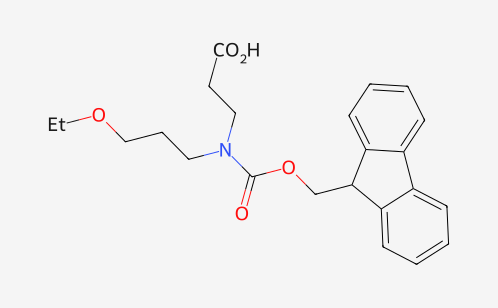 CCOCCCN(CCC(=O)O)C(=O)OCC1c2ccccc2-c2ccccc21